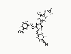 N#Cc1ccc(Sc2cnc(N3CCN(CC4CC4)C(=O)C3)nc2OCc2cccc(C=O)c2)cc1